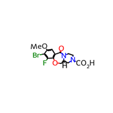 COc1cc2c(c(F)c1Br)OC[C@H]1CN(C(=O)O)CCN1C2=O